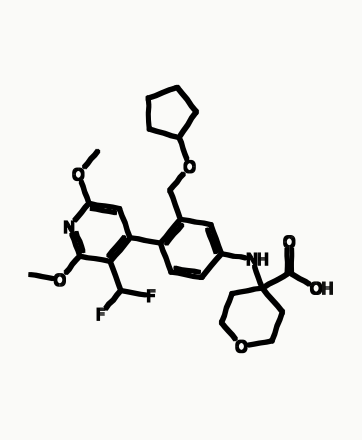 COc1cc(-c2ccc(NC3(C(=O)O)CCOCC3)cc2COC2CCCC2)c(C(F)F)c(OC)n1